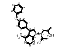 CC(=O)N(CC(C)O)n1cc(-c2ccc(Oc3ccccc3)cc2)c2c(N)ncnc21